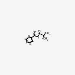 CC(C)C(=O)CC(=O)c1ccncc1